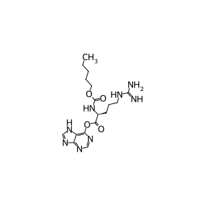 CCCCCOC(=O)N[C@@H](CCCNC(=N)N)C(=O)Oc1ncnc2nc[nH]c12